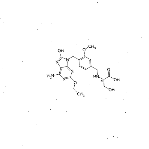 CCOc1nc(N)c2nc(O)n(Cc3ccc(CN[C@@H](CO)C(=O)O)cc3OC)c2n1